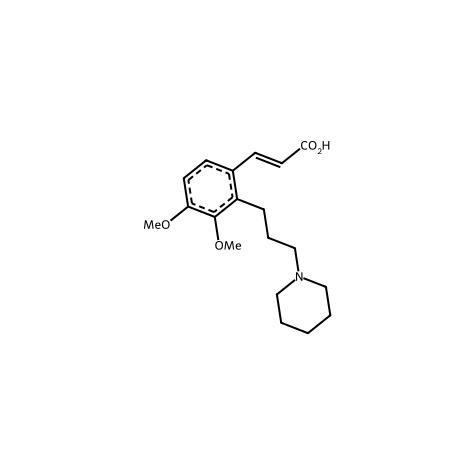 COc1ccc(C=CC(=O)O)c(CCCN2CCCCC2)c1OC